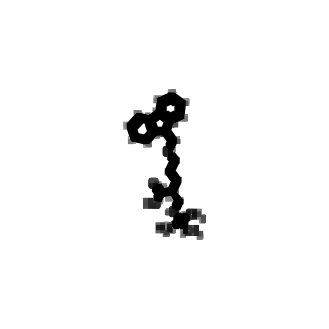 CC(C)(C)OC[C@H](CCCOCC1C2=C(C=CCC2)c2ccccc21)C(=O)O